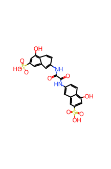 O=C(Nc1ccc2c(O)cc(S(=O)(=O)O)cc2c1)C(=O)Nc1ccc2c(O)cc(S(=O)(=O)O)cc2c1